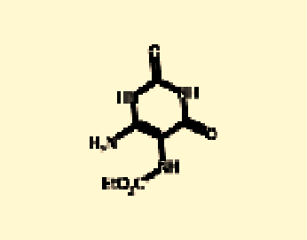 CCOC(=O)Nc1c(N)[nH]c(=O)[nH]c1=O